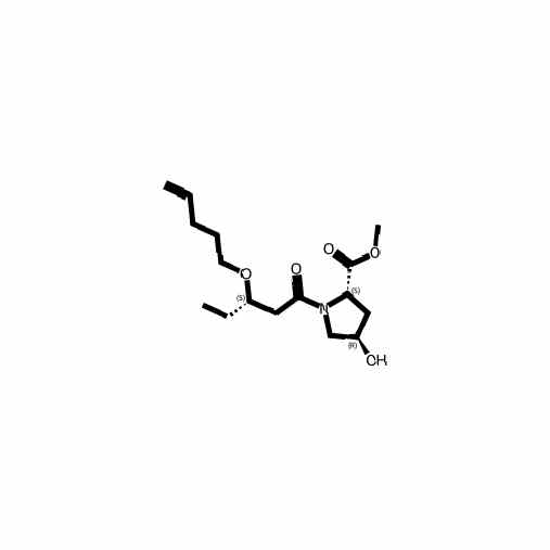 C=CCCCO[C@@H](CC)CC(=O)N1C[C@H](O)C[C@H]1C(=O)OC